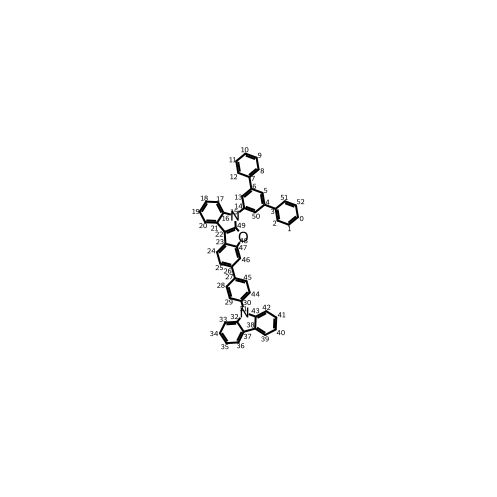 c1ccc(-c2cc(-c3ccccc3)cc(-n3c4ccccc4c4c5ccc(-c6ccc(-n7c8ccccc8c8ccccc87)cc6)cc5oc43)c2)cc1